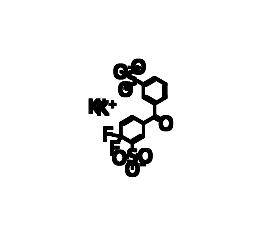 O=C(c1cccc(S(=O)(=O)[O-])c1)C1C=CC(F)(F)C(S(=O)(=O)[O-])=C1.[K+].[K+]